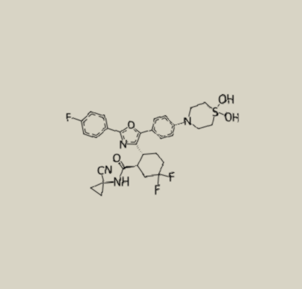 N#CC1(NC(=O)[C@@H]2CC(F)(F)CC[C@H]2c2nc(-c3ccc(F)cc3)oc2-c2ccc(N3CCS(O)(O)CC3)cc2)CC1